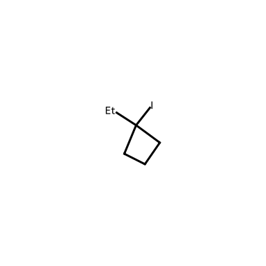 CCC1(I)CCC1